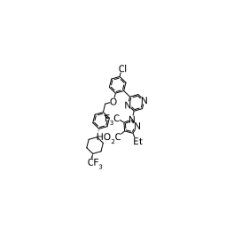 CCc1nn(-c2cncc(-c3cc(Cl)ccc3OCc3ccc([C@H]4CC[C@H](C(F)(F)F)CC4)cc3)n2)c(C(F)(F)F)c1C(=O)O